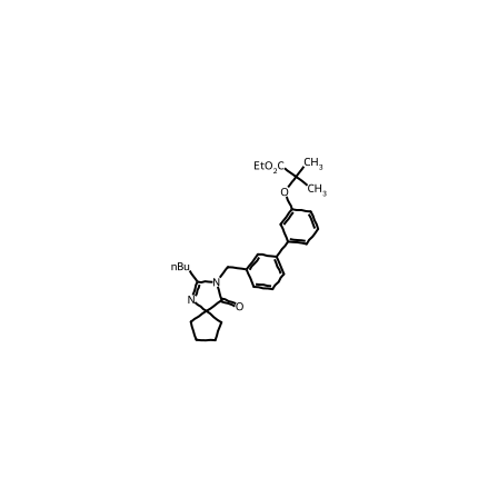 CCCCC1=NC2(CCCC2)C(=O)N1Cc1cccc(-c2cccc(OC(C)(C)C(=O)OCC)c2)c1